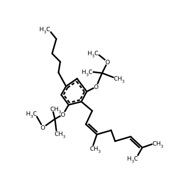 CCCCCc1cc(OC(C)(C)OC)c(CC=C(C)CCC=C(C)C)c(OC(C)(C)OC)c1